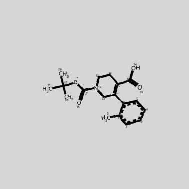 Cc1ccccc1C1=C(C(=O)O)CCN(C(=O)OC(C)(C)C)C1